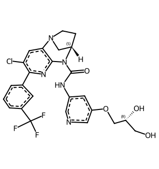 O=C(Nc1cncc(OC[C@H](O)CO)c1)N1c2nc(-c3cccc(C(F)(F)F)c3)c(Cl)cc2N2CC[C@H]1C2